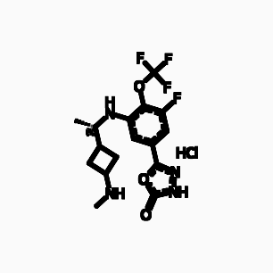 CNC1CC([C@H](C)Nc2cc(-c3n[nH]c(=O)o3)cc(F)c2OC(F)(F)F)C1.Cl